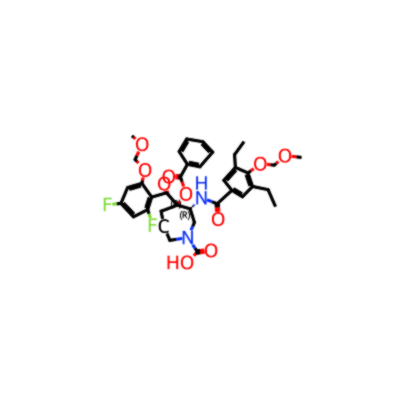 CCc1cc(C(=O)N[C@@H]2CN(C(=O)O)CCC[C@]2(OC(=O)c2ccccc2)C(=O)c2c(F)cc(F)cc2OCOC)cc(CC)c1OCOC